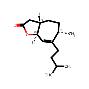 CC(C=O)CCC1=C[C@H]2OC(=O)C[C@@H]2CC[C@@H]1C